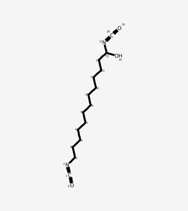 O=C=NCCCCCCCCCCCCC(O)N=C=O